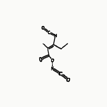 CCC(N=C=O)=C(C)C(=O)ON=C=O